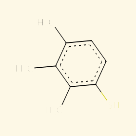 Cc1ccc(S)c(C)c1C